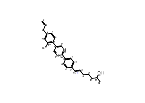 C=CCc1ccc(-c2cnc(-c3ccc(/C=C/CCCC(C)O)cc3)nc2)c(F)c1